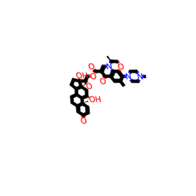 Cc1cc2c(=O)c(C(=O)OCC(=O)[C@@]3(O)CCC4C5CCC6=CC(=O)C=C[C@]6(C)C5[C@@H](O)C[C@@]43C)cn3c2c(c1N1CCN(C)CC1)OC[C@@H]3C